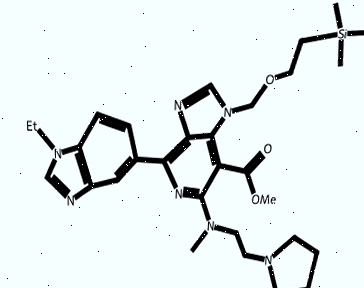 CCn1cnc2cc(-c3nc(N(C)CCN4CCCC4)c(C(=O)OC)c4c3ncn4COCC[Si](C)(C)C)ccc21